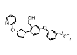 OCc1cc(Oc2cccc(OC(F)(F)F)c2)ccc1N1CC[C@H](Oc2ccccn2)C1